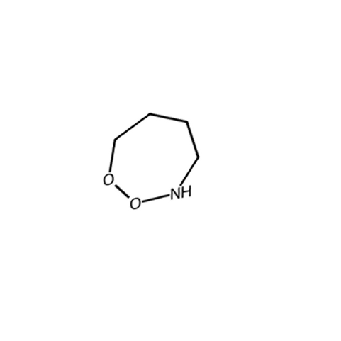 C1CCOONC1